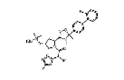 Cc1cc(C(C(=O)N2C[C@H](O[Si](C)(C)C(C)(C)C)C[C@H]2C2=NOC(C)(c3ccc(-c4ccccc4F)cc3)N2)C(C)C)on1